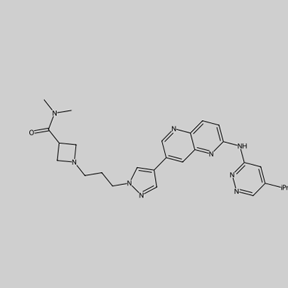 CC(C)c1cnnc(Nc2ccc3ncc(-c4cnn(CCCN5CC(C(=O)N(C)C)C5)c4)cc3n2)c1